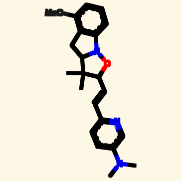 COc1cccc2c1CC1N2OC(C=Cc2ccc(N(C)C)cn2)C1(C)C